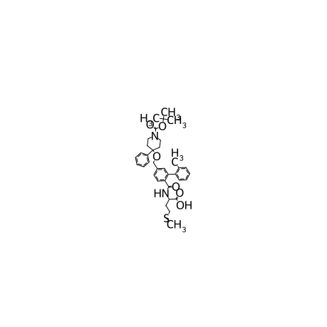 CSCCC(NC(=O)c1ccc(COC2(c3ccccc3)CCN(C(=O)OC(C)(C)C)CC2)cc1-c1ccccc1C)C(=O)O